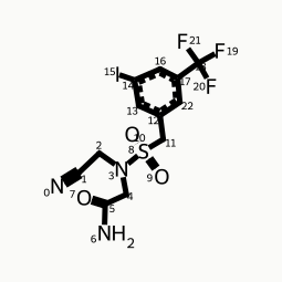 N#CCN(CC(N)=O)S(=O)(=O)Cc1cc(I)cc(C(F)(F)F)c1